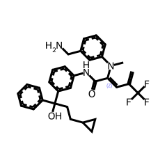 C=C(/C=C(/C(=O)Nc1cccc(C(O)(CCC2CC2)c2ccccc2)c1)N(C)c1cccc(CN)c1)C(F)(F)F